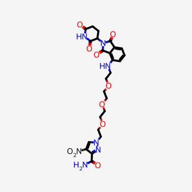 NC(=O)c1nn(CCOCCOCCOCCNc2cccc3c2C(=O)N(C2CCC(=O)NC2=O)C3=O)cc1[N+](=O)[O-]